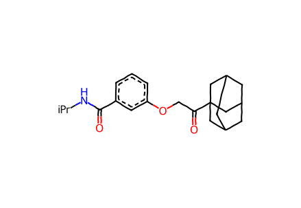 CC(C)NC(=O)c1cccc(OCC(=O)C23CC4CC(CC(C4)C2)C3)c1